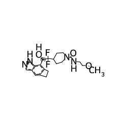 COCCNC(=O)N1CCC(C(F)(F)[C@H](O)c2c3c(cc4cn[nH]c24)CC3)CC1